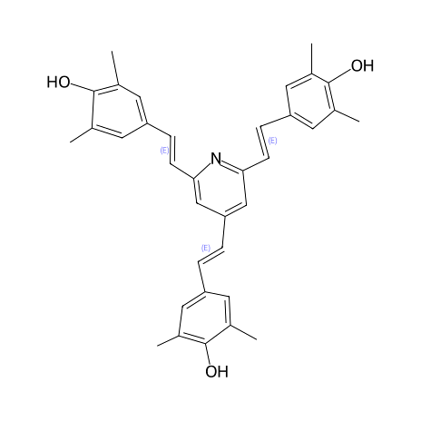 Cc1cc(/C=C/c2cc(/C=C/c3cc(C)c(O)c(C)c3)nc(/C=C/c3cc(C)c(O)c(C)c3)c2)cc(C)c1O